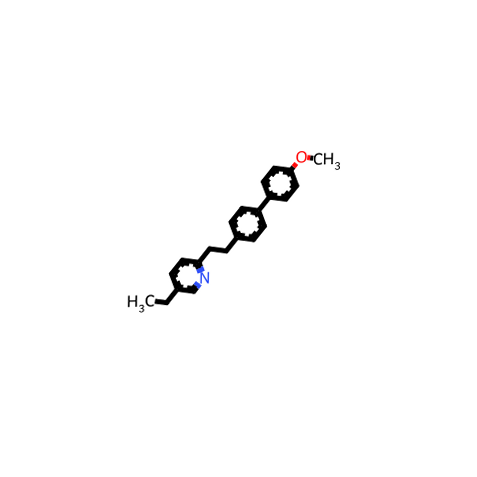 CCc1ccc(CCc2ccc(-c3ccc(OC)cc3)cc2)nc1